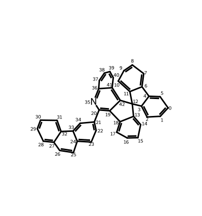 c1ccc2c(c1)-c1ccccc1C21c2ccccc2-c2c(-c3ccc4ccc5ccccc5c4c3)nc3ccccc3c21